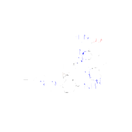 CN1CCN(c2ccc(Nc3ncc4c(n3)-c3c(c(C(N)=O)nn3C)CC4)cc2Br)CC1